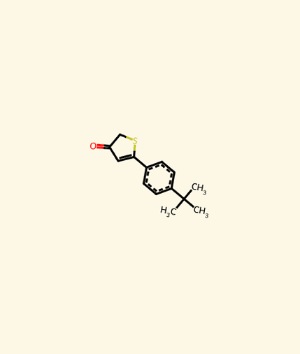 CC(C)(C)c1ccc(C2=CC(=O)CS2)cc1